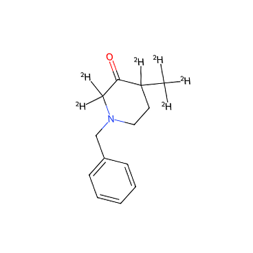 [2H]C1([2H])C(=O)C([2H])(C([2H])([2H])[2H])CCN1Cc1ccccc1